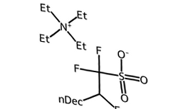 CCCCCCCCCCC(F)C(F)(F)S(=O)(=O)[O-].CC[N+](CC)(CC)CC